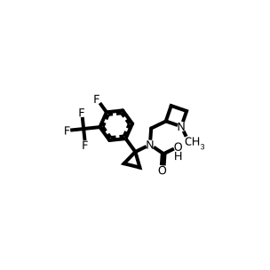 CN1CCC1CN(C(=O)O)C1(c2ccc(F)c(C(F)(F)F)c2)CC1